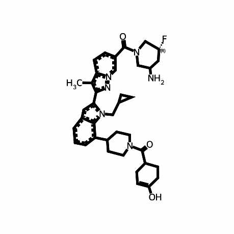 Cc1c(-c2cc3cccc(C4CCN(C(=O)C5CC=C(O)CC5)CC4)c3n2CC2CC2)nn2cc(C(=O)N3CC(N)C[C@@H](F)C3)ccc12